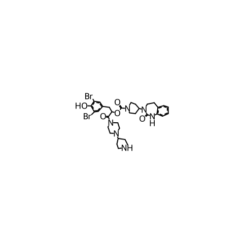 O=C(OC(Cc1cc(Br)c(O)c(Br)c1)C(=O)N1CCN(C2CCNCC2)CC1)N1CCC(N2CCc3ccccc3NC2=O)CC1